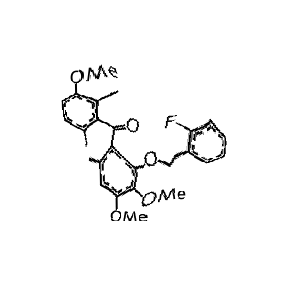 COc1ccc(C)c(C(=O)c2c(C)cc(OC)c(OC)c2OCc2ccccc2F)c1C